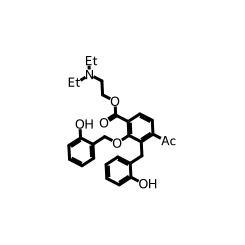 CCN(CC)CCOC(=O)c1ccc(C(C)=O)c(Cc2ccccc2O)c1OCc1ccccc1O